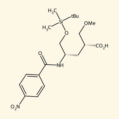 COC[C@@H](C[C@@H](CO[Si](C)(C)C(C)(C)C)NC(=O)c1ccc([N+](=O)[O-])cc1)C(=O)O